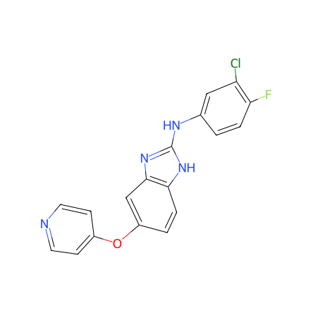 Fc1ccc(Nc2nc3cc(Oc4ccncc4)ccc3[nH]2)cc1Cl